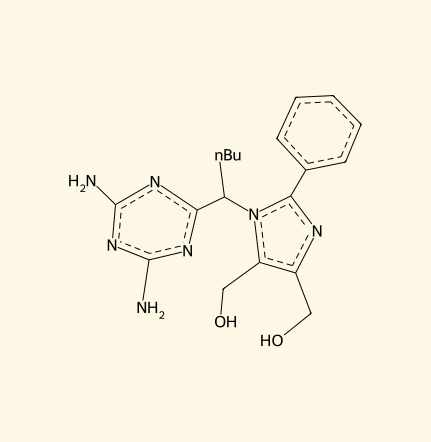 CCCCC(c1nc(N)nc(N)n1)n1c(-c2ccccc2)nc(CO)c1CO